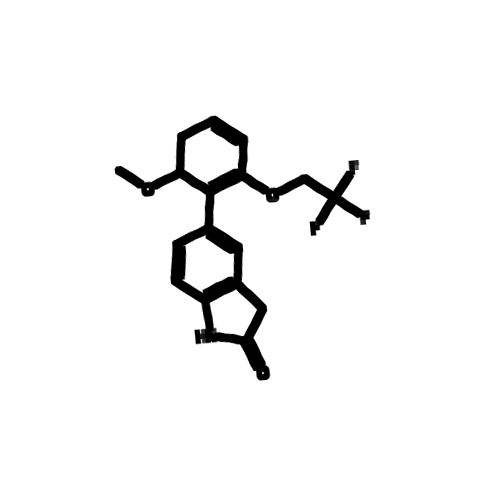 COC1CC=CC(OCC(F)(F)F)=C1c1ccc2c(c1)CC(=O)N2